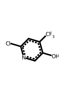 Oc1cnc(Cl)cc1C(F)(F)F